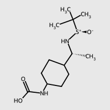 C[C@@H](N[S@+]([O-])C(C)(C)C)C1CCC(NC(=O)O)CC1